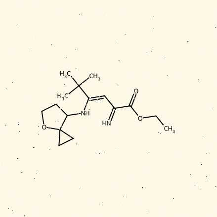 CCOC(=O)C(=N)/C=C(\NC1CCOC12CC2)C(C)(C)C